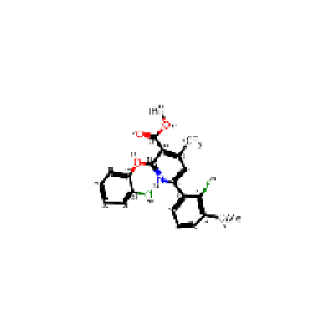 COc1cccc(-c2cc(C(F)(F)F)c(C(=O)OC(C)(C)C)c(Oc3ccccc3Cl)n2)c1F